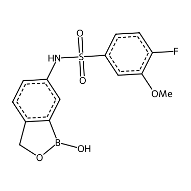 COc1cc(S(=O)(=O)Nc2ccc3c(c2)B(O)OC3)ccc1F